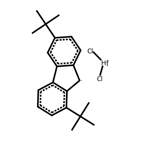 CC(C)(C)c1ccc2c(c1)-c1cccc(C(C)(C)C)c1[CH]2.[Cl][Hf][Cl]